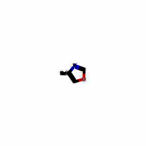 [NaH].c1cocn1